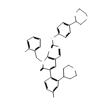 Cc1ccc(-c2cc3cnc(Nc4ccc(C5CNCCO5)cc4)nc3n(Cc3ccccc3C(F)(F)F)c2=O)c(C2CCNCC2)c1